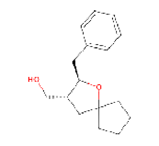 OC[C@H]1CC2(CCCC2)O[C@@H]1Cc1ccccc1